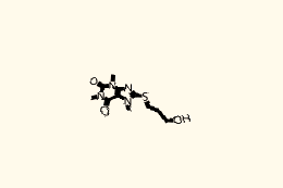 Cn1c(=O)c2c(nc(SCCCO)n2C)n(C)c1=O